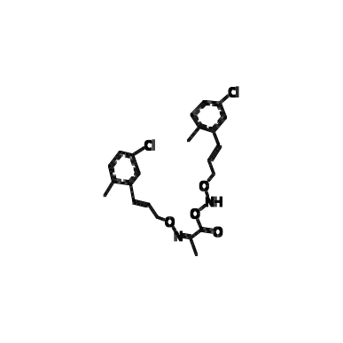 CC(=NOC/C=C/c1cc(Cl)ccc1C)C(=O)ONOC/C=C/c1cc(Cl)ccc1C